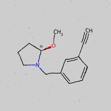 C#Cc1cccc(CN2CCC[C@H]2OC)c1